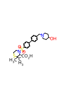 CC1(C)SCCN(S(=O)(=O)c2ccc(-c3ccc(CN4CCC(O)CC4)cc3)cc2)[C@H]1C(=O)O